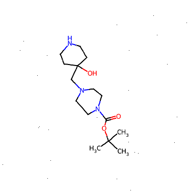 CC(C)(C)OC(=O)N1CCN(CC2(O)CCNCC2)CC1